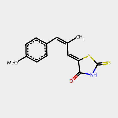 COc1ccc(C=C(C)C=C2SC(=S)NC2=O)cc1